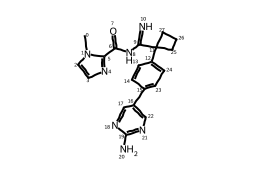 Cn1ccnc1C(=O)NC(=N)C1(c2ccc(-c3cnc(N)nc3)cc2)CCC1